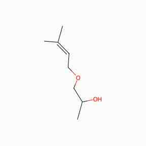 CC(C)=CCOCC(C)O